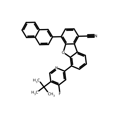 CC(C)(C)c1cnc(-c2cccc3c2oc2c(-c4ccc5ccccc5c4)ccc(C#N)c23)cc1F